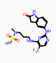 CCCS(=O)(=O)N(C)CCCNc1nc(Nc2ccc3c(c2)CC(=O)N3)ncc1C(F)(F)F